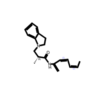 C=C(/C=C\C=C/C)NC(=O)[C@H](C)CN1CCc2ccccc21